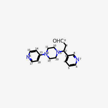 O=CCC(c1cccnc1)N1CCN(c2ccncc2)CC1